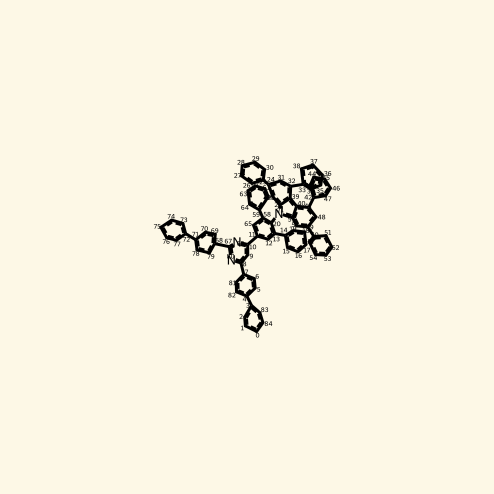 c1ccc(-c2ccc(-c3cc(-c4cc(-c5ccccc5)c(-n5c6cc(-c7ccccc7)cc(-c7ccccc7)c6c6c(-c7ccccc7)cc(-c7ccccc7)cc65)c(-c5ccccc5)c4)nc(-c4ccc(-c5ccccc5)cc4)n3)cc2)cc1